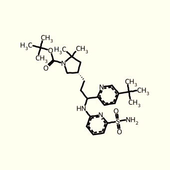 CC(C)(C)OC(=O)N1C[C@@H](CCC(Nc2cccc(S(N)(=O)=O)n2)c2ccc(C(C)(C)C)cn2)CC1(C)C